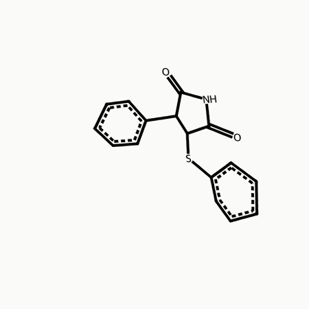 O=C1NC(=O)C(c2ccccc2)C1Sc1ccccc1